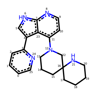 c1ccc(-c2c[nH]c3nccc(N4CCCC5(CCCCN5)C4)c23)nc1